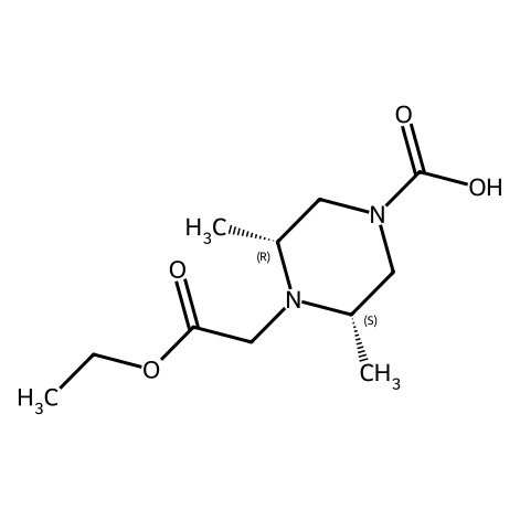 CCOC(=O)CN1[C@H](C)CN(C(=O)O)C[C@@H]1C